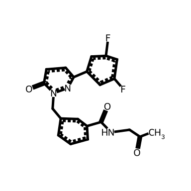 CC(=O)CNC(=O)c1cccc(Cn2nc(-c3cc(F)cc(F)c3)ccc2=O)c1